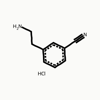 Cl.N#Cc1cccc(CCN)c1